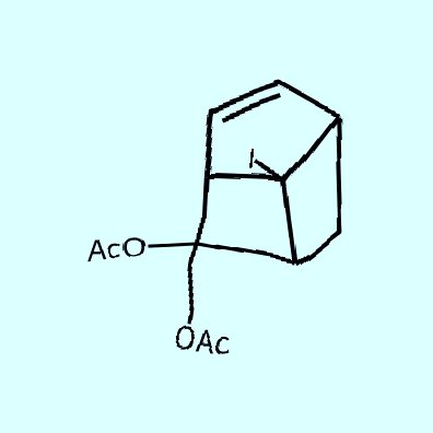 CC(=O)OC1(OC(C)=O)C2C=CC3CC1C32I